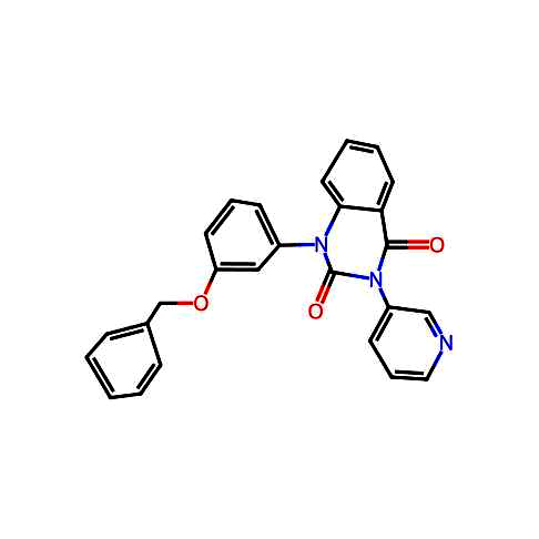 O=c1c2ccccc2n(-c2cccc(OCc3ccccc3)c2)c(=O)n1-c1cccnc1